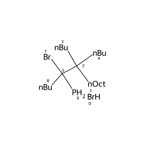 Br.CCCCCCCCC(CCCC)(CCCC)C(P)(Br)CCCC